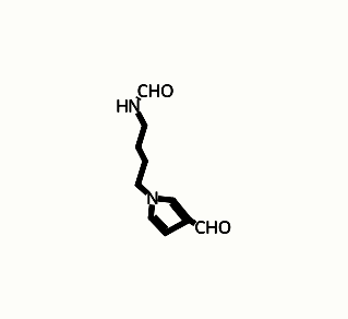 O=CNCCCCn1ccc(C=O)c1